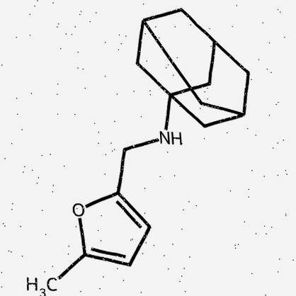 Cc1ccc(CNC23CC4CC(CC(C4)C2)C3)o1